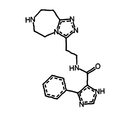 O=C(NCCc1nnc2n1CCNCC2)c1[nH]cnc1-c1ccccc1